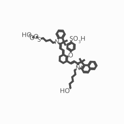 CC1(C)C(/C=C/C2=C(Oc3ccc(S(=O)(=O)O)cc3)C(=C/C=C3/N(CCCCSOOO)c4ccccc4C3(C)C)/CCC2)=[N+](CCCCCCO)c2ccc3ccccc3c21